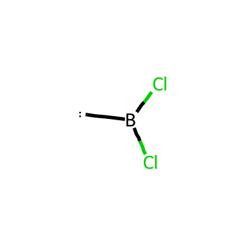 [CH]B(Cl)Cl